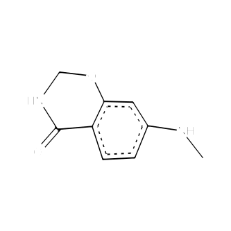 CNc1ccc2c(c1)OCNC2=O